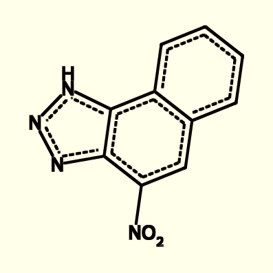 O=[N+]([O-])c1cc2ccccc2c2[nH]nnc12